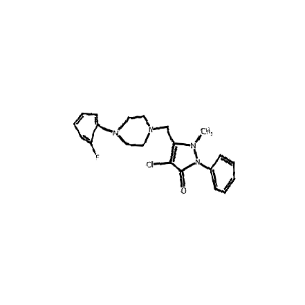 Cn1c(CN2CCN(c3ccccc3F)CC2)c(Cl)c(=O)n1-c1ccccc1